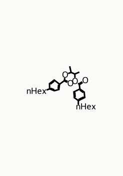 CCCCCCc1ccc(C(=O)OC(C)C(C)OC(=O)c2ccc(CCCCCC)cc2)cc1